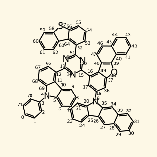 c1ccc(-n2c3ccccc3c3c(-c4nc(-c5cc(-n6c7ccccc7c7cc8ccccc8cc76)cc6oc7c8ccccc8ccc7c56)nc(-c5cccc6sc7ccccc7c56)n4)cccc32)cc1